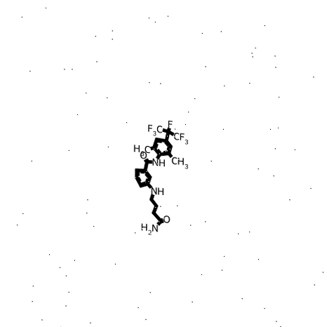 Cc1cc(C(F)(C(F)(F)F)C(F)(F)F)cc(C)c1NC(=O)c1cccc(NCCCC(N)=O)c1